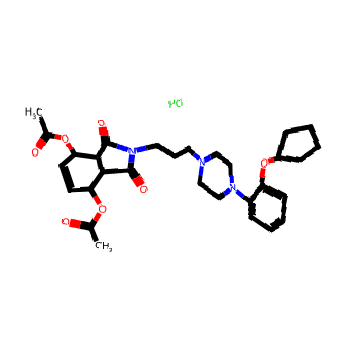 CC(=O)OC1C=CC(OC(C)=O)C2C(=O)N(CCCN3CCN(c4ccccc4OC4CCCC4)CC3)C(=O)C12.Cl